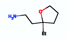 CCC1(CCN)CCCO1